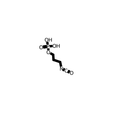 O=C=NCCCOP(=O)(O)O